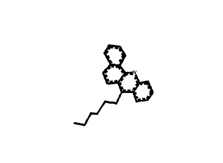 CCCCCCc1c2ccccc2nc2c1ccc1ccccc12